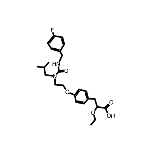 CCOC(Cc1ccc(OCCN(CC(C)C)C(=O)NCc2ccc(F)cc2)cc1)C(=O)O